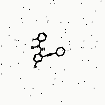 Brc1ccc(NN(Br)c2ccccc2I)c(C#CC2CCCCC2)c1